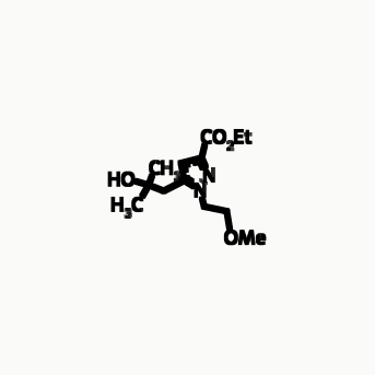 CCOC(=O)c1cc(CC(C)(C)O)n(CCOC)n1